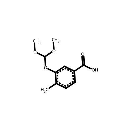 COC(OC)Oc1cc(C(=O)O)ccc1C